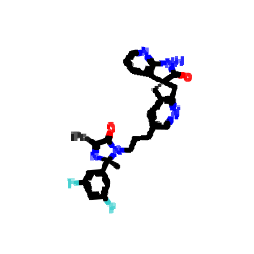 CC(C)C1=N[C@@](C)(c2cc(F)cc(F)c2)N(CCCc2cnc3c(c2)C[C@@]2(C3)C(=O)Nc3ncccc32)C1=O